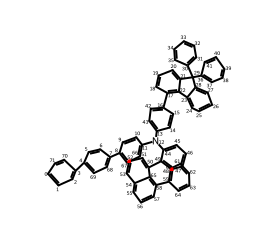 c1ccc(-c2ccc(-c3ccc(N(c4ccc(-c5cccc6c5-c5ccccc5C6(c5ccccc5)c5ccccc5)cc4)c4ccccc4-c4cccc5cccc(-c6ccccc6)c45)cc3)cc2)cc1